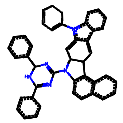 C1=CCCC(n2c3c(c4ccccc42)=CC2c4c(ccc5ccccc45)N(C4=NC(c5ccccc5)NC(c5ccccc5)=N4)C2C=3)=C1